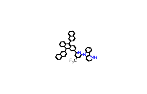 FC(F)(F)c1cc(-c2ccc3c(-c4ccc5ccccc5c4)c4ccccc4c(-c4ccc5ccccc5c4)c3c2)nc(-n2c3c(c4ccccc42)NCC=C3)c1